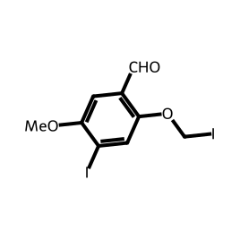 COc1cc(C=O)c(OCI)cc1I